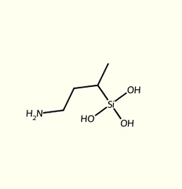 CC(CCN)[Si](O)(O)O